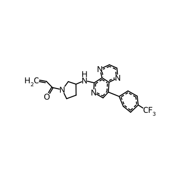 C=CC(=O)N1CCC(Nc2ncc(-c3ccc(C(F)(F)F)cc3)c3nccnc23)C1